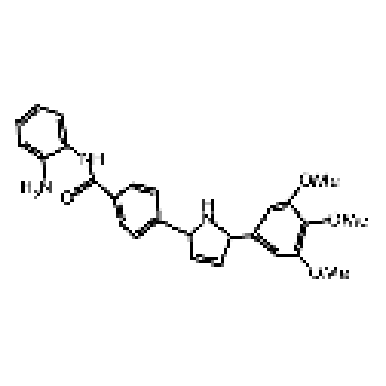 COc1cc(C2C=CC(c3ccc(C(=O)Nc4ccccc4N)cc3)N2)cc(OC)c1OC